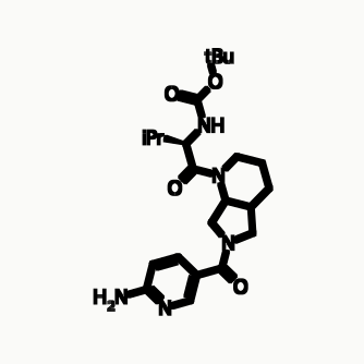 CC(C)[C@@H](NC(=O)OC(C)(C)C)C(=O)N1CCCC2CN(C(=O)c3ccc(N)nc3)CC21